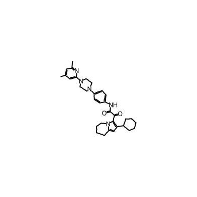 Cc1cc(C)nc(N2CCN(c3ccc(NC(=O)C(=O)c4c(C5CCCCC5)cc5n4CCCC5)cc3)CC2)c1